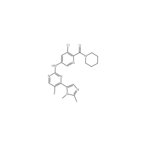 Cc1ncc(-c2nc(Nc3cnc(C(=O)N4CCCCC4)c(Cl)c3)ncc2F)n1C